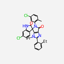 CCc1ccccc1-c1nc2c(n1C(C)C)C1(C(=O)Nc3cc(Cl)ccc31)N(c1cc(Cl)ccc1C)C2=O